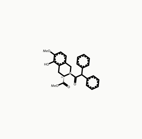 COC(=O)[C@@H]1Cc2c(ccc(OC)c2O)CN1C(=O)C(c1ccccc1)c1ccccc1